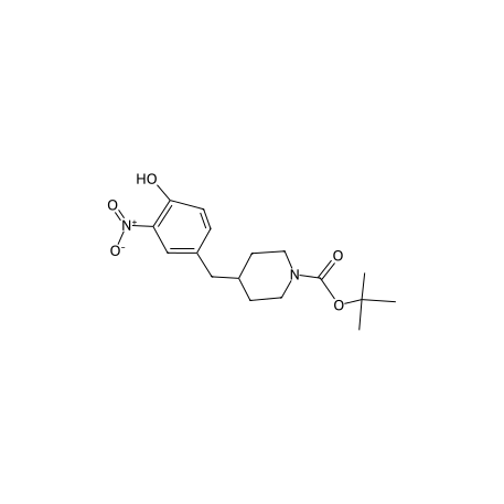 CC(C)(C)OC(=O)N1CCC(Cc2ccc(O)c([N+](=O)[O-])c2)CC1